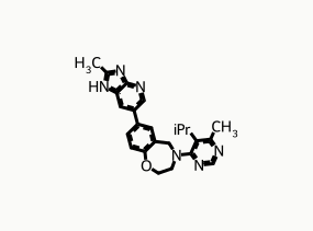 Cc1nc2ncc(-c3ccc4c(c3)CN(c3ncnc(C)c3C(C)C)CCO4)cc2[nH]1